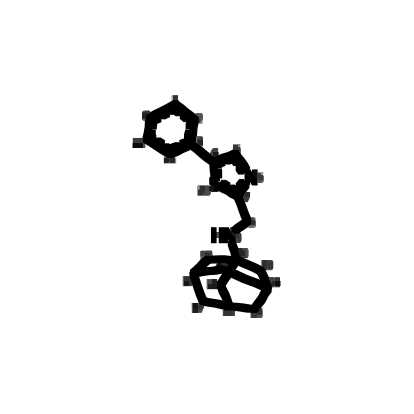 c1ccc(-c2cnc(CNC34CC5CC(CC(C5)C3)C4)s2)cc1